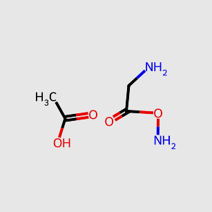 CC(=O)O.NCC(=O)ON